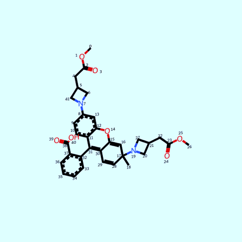 COC(=O)CC1CN(c2ccc3c(c2)OC2=CC(C)(N4CC(CC(=O)OC)C4)C=CC2=C3c2ccccc2C(=O)O)C1